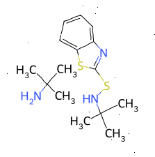 CC(C)(C)N.CC(C)(C)NSc1nc2ccccc2s1